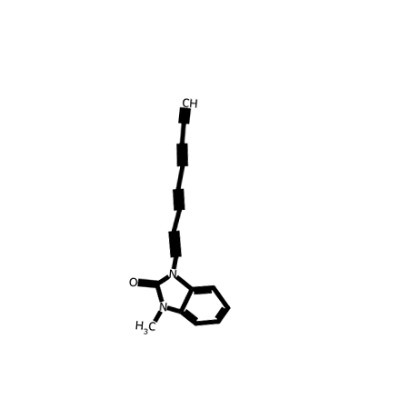 C#CC#CC#CC#Cn1c(=O)n(C)c2ccccc21